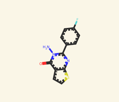 Nn1c(-c2ccc(F)cc2)nc2sccc2c1=O